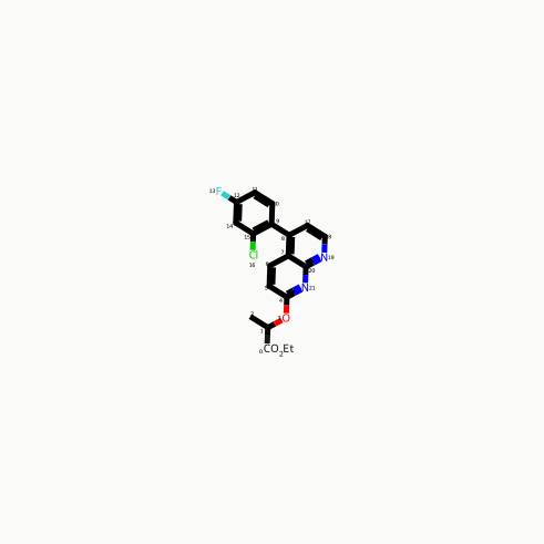 CCOC(=O)C(C)Oc1ccc2c(-c3ccc(F)cc3Cl)ccnc2n1